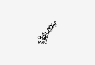 COCc1nc(Cl)cc(NCc2cn3cc(C4CC4)ccc3n2)n1